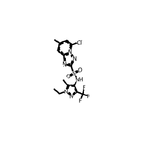 CCn1nc(C(F)(F)F)c(NS(=O)(=O)c2nc3cc(C)cc(Cl)n3n2)c1C